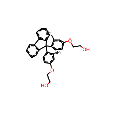 CC(C)c1cc(OCCO)ccc1C1(c2ccc(OCCO)cc2C(C)C)c2ccccc2-c2ccccc21